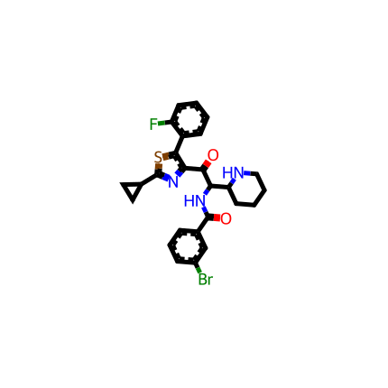 O=C(NC(C(=O)c1nc(C2CC2)sc1-c1ccccc1F)C1CCCCN1)c1cccc(Br)c1